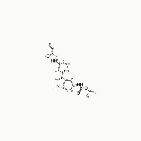 C=CC(=O)CNc1cccc(-c2c[nH]c3ncc(NC(=O)OC(C)C)cc23)c1